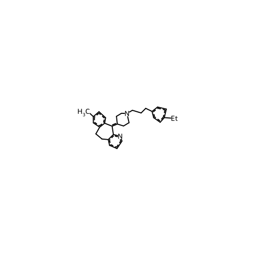 CCc1ccc(CCCN2CCC(=C3c4ccc(C)cc4CCc4cccnc43)CC2)cc1